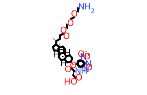 C[C@H](CCC(=O)OCCOCCOCCN)C1CC[C@H]2[C@@H]3CC[C@@H]4C[C@H](OC(=O)[C@H](CC(=O)O)Nc5ccc([N+](=O)[O-])c6nonc56)CC[C@]4(C)[C@H]3CC[C@]12C